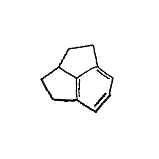 c1cc2c3c(c1)CCC3CC2